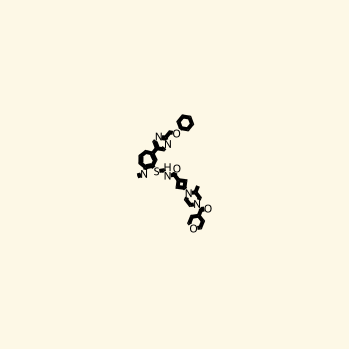 C=NC1=C(SCNC(=O)C2CC(N3CCN(C(=O)C4CCOCC4)CC3C)C2)C=C(c2cnc(COC3CCCCC3)nc2)CC=C1